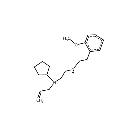 C=CCN(CCNCCc1ccccc1OC)C1CCCC1